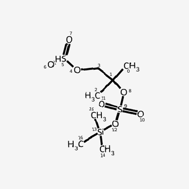 CC(C)(CO[SH](=O)=O)OS(=O)(=O)O[Si](C)(C)C